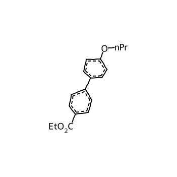 CCCOc1ccc(-c2ccc(C(=O)OCC)cc2)cc1